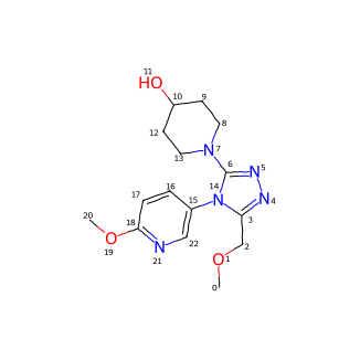 COCc1nnc(N2CCC(O)CC2)n1-c1ccc(OC)nc1